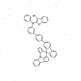 CC(C)c1c(N(c2ccccc2)c2cccc(-c3ccc(-c4ccc5c(c4)C4(c6ccccc6-5)c5ccccc5-n5c6ccccc6c6cccc4c65)cc3)c2)oc2ccccc12